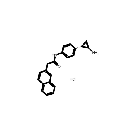 Cl.N[C@@H]1C[C@H]1c1ccc(NC(=O)Cc2ccc3ccccc3c2)cc1